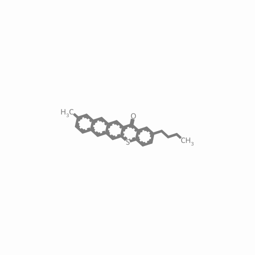 CCCCc1ccc2sc3cc4cc5ccc(C)cc5cc4cc3c(=O)c2c1